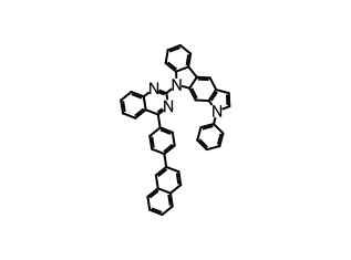 c1ccc(-n2ccc3cc4c5ccccc5n(-c5nc(-c6ccc(-c7ccc8ccccc8c7)cc6)c6ccccc6n5)c4cc32)cc1